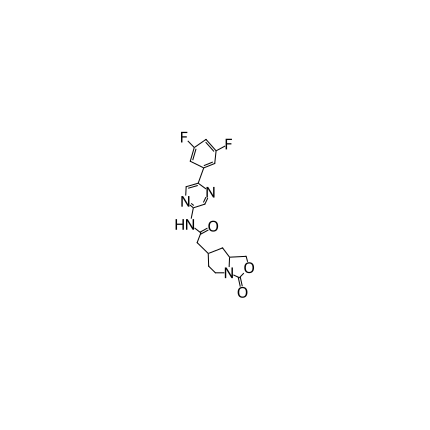 O=C(CC1CCN2C(=O)OCC2C1)Nc1cnc(-c2cc(F)cc(F)c2)cn1